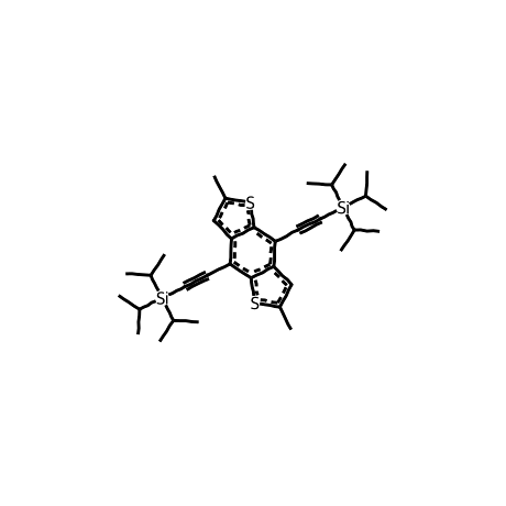 Cc1cc2c(C#C[Si](C(C)C)(C(C)C)C(C)C)c3sc(C)cc3c(C#C[Si](C(C)C)(C(C)C)C(C)C)c2s1